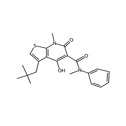 CN(C(=O)c1c(O)c2c(CC(C)(C)C)csc2n(C)c1=O)c1ccccc1